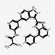 CC(C)C(=O)Nc1cncc(-c2cc3c(-c4nc5c(-c6ccncc6)ccnc5[nH]4)n[nH]c3cn2)c1